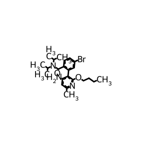 CCCCOc1nc(C)cc(N)c1-c1cc(Br)ccc1C(=O)N(C(C)C)C(C)C